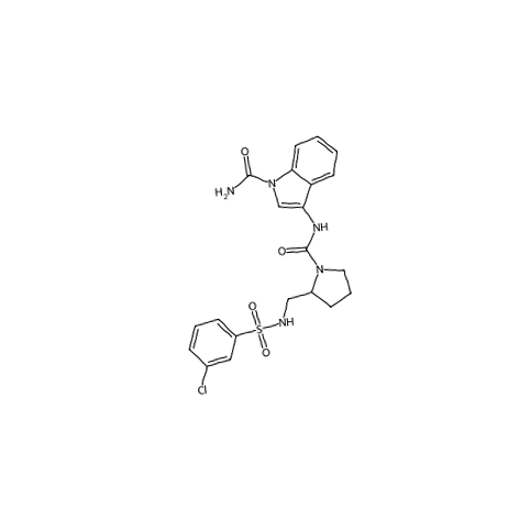 NC(=O)n1cc(NC(=O)N2CCCC2CNS(=O)(=O)c2cccc(Cl)c2)c2ccccc21